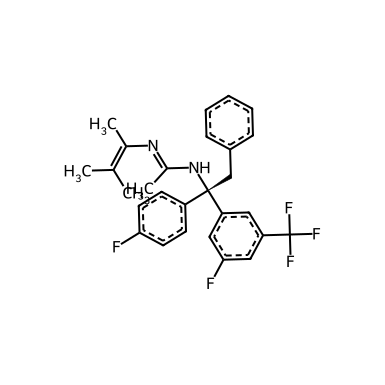 CC(C)=C(C)/N=C(\C)N[C@@](Cc1ccccc1)(c1ccc(F)cc1)c1cc(F)cc(C(F)(F)F)c1